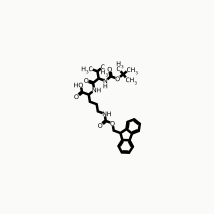 CC(C)C(NC(=O)OC(C)(C)C)C(=O)NC(CCCNC(=O)OCC1c2ccccc2-c2ccccc21)C(=O)O